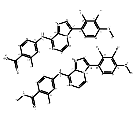 COC(=O)c1ccc(Nc2nccn3c(-c4ccc(OC)c(F)c4F)cnc23)cc1C.COc1ccc(-c2cnc3c(Nc4ccc(C(=O)O)c(C)c4)nccn23)c(F)c1F